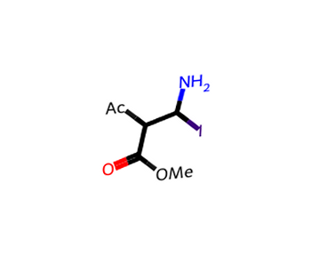 COC(=O)C(C(C)=O)C(N)I